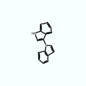 [c]1cccc2c1ccn2-c1c[nH]c2ccccc12